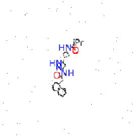 CC(C)C(=O)N[C@H]1C[C@@H](c2cc(NC(=O)Cc3cccc4ccccc34)n[nH]2)C1